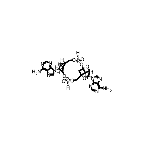 Nc1ncnc2c1ncn2[C@@H]1O[C@@H]2CO[P@@](=O)(S)O[C@@]34C[C@]5(CO[P@@](=O)(S)O[C@@H]1[C@@H]2O)O[C@@H](n1cnc2c(N)ncnc21)[C@H](O3)[C@@H]54